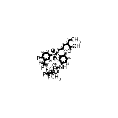 CCC(CC1CN(S(=O)(=O)c2ccc(F)c(C(F)(F)F)c2)c2cc(NC(=O)OC(C)(C)C(F)(F)F)ccc2O1)C(=O)O